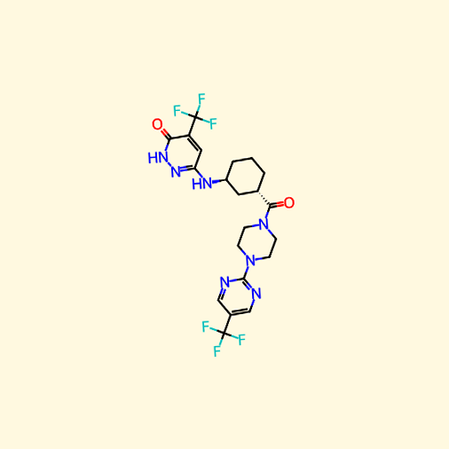 O=C([C@H]1CCC[C@H](Nc2cc(C(F)(F)F)c(=O)[nH]n2)C1)N1CCN(c2ncc(C(F)(F)F)cn2)CC1